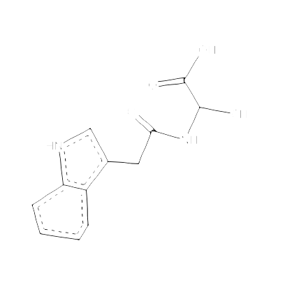 CC(NC(=O)Cc1c[nH]c2ccccc12)C(=O)O